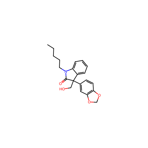 CCCCCN1C(=O)C(CO)(c2ccc3c(c2)OCO3)c2ccccc21